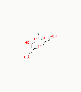 CC(O)COC(C)CO.OCCCCOCCCCO